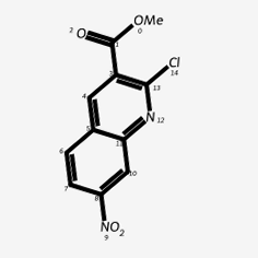 COC(=O)c1cc2ccc([N+](=O)[O-])cc2nc1Cl